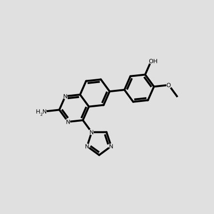 COc1ccc(-c2ccc3nc(N)nc(-n4cncn4)c3c2)cc1O